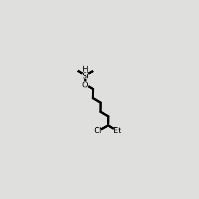 CCC(Cl)CCCCCO[SiH](C)C